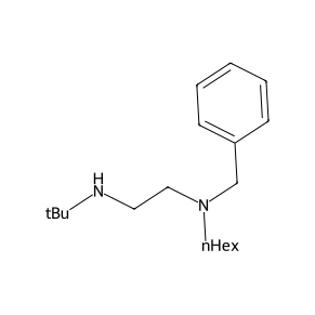 CCCCCCN(CCNC(C)(C)C)Cc1ccccc1